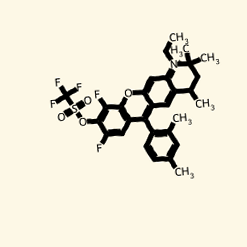 CC[N+]1=c2cc3c(cc2C(C)CC1(C)C)=C(c1ccc(C)cc1C)c1cc(F)c(OS(=O)(=O)C(F)(F)F)c(F)c1O3